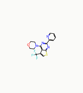 FC(F)(F)c1csc2nc(-c3ccccn3)nc(N3CCOCC3)c12